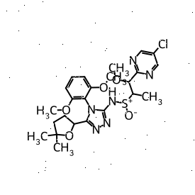 COc1cccc(OC)c1-n1c(N[S+]([O-])C(C)C(OC)c2ncc(Cl)cn2)nnc1C1CCC(C)(C)O1